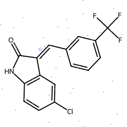 O=C1Nc2ccc(Cl)cc2/C1=C\c1cccc(C(F)(F)F)c1